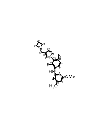 CNc1cc(C)nc(Nc2ccc(F)c(-n3cc(CN4CCC4)cn3)c2F)n1